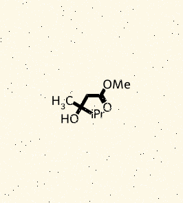 COC(=O)CC(C)(O)C(C)C